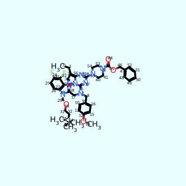 CCc1cnn2c(N(Cc3ccc(OC)cc3)Cc3nc4c(F)c(F)ccc4n3COCC[Si](C)(C)C)nc(N3CCN(C(=O)OCc4ccccc4)CC3)nc12